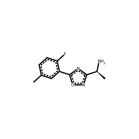 Cc1ccc(F)c(-c2nc([C@H](C)N)no2)c1